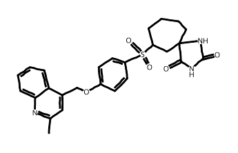 Cc1cc(COc2ccc(S(=O)(=O)C3CCCCC4(C3)NC(=O)NC4=O)cc2)c2ccccc2n1